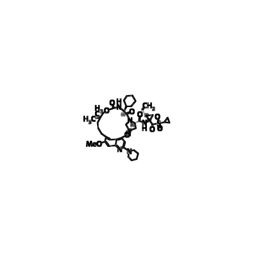 C=C[C@@H]1C[C@]1(NC(=O)[C@@H]1C[C@@H]2CN1C(=O)[C@H](C1CCCCC1)NC(=O)OCC(C)(C)CCCc1cc3c(cc(N4CCCCC4)nc3cc1OC)O2)C(=O)S(=O)(=O)C1CC1